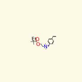 C=Cc1ccc(C[N+](C)(C)CCOC(=O)C(C)(C)CC)cc1